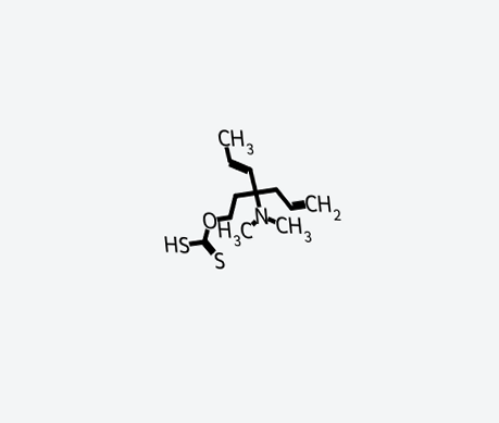 C=CCC(C=CC)(CCOC(=S)S)N(C)C